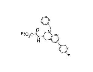 CCOC(=O)C(=O)NC1Cc2cc(-c3ccc(F)cc3)ccc2N(Cc2ccccc2)C1